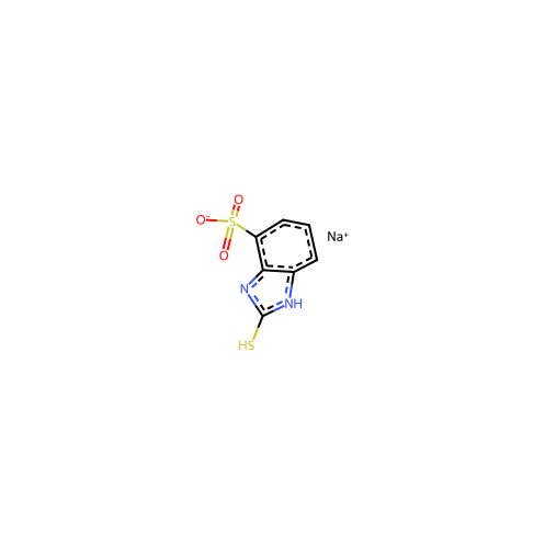 O=S(=O)([O-])c1cccc2[nH]c(S)nc12.[Na+]